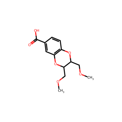 COCC1Oc2ccc(C(=O)O)cc2OC1COC